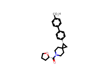 O=C(O)c1ccc(-c2ccc([C@@H]3CC34CCN(C(=O)[C@@H]3CCCO3)CC4)cc2)cc1